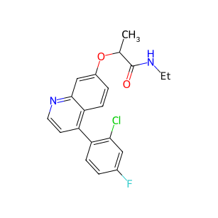 CCNC(=O)C(C)Oc1ccc2c(-c3ccc(F)cc3Cl)ccnc2c1